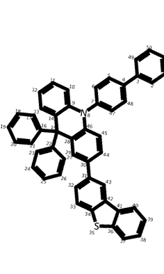 c1ccc(-c2ccc(N3c4ccccc4C(c4ccccc4)(c4ccccc4)c4cc(-c5ccc6sc7ccccc7c6c5)ccc43)cc2)cc1